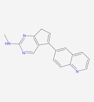 CNc1ncc2c(n1)CC=C2c1ccc2ncccc2c1